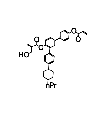 C=CC(=O)Oc1ccc(-c2ccc(OC(=O)C(=C)CO)c(-c3ccc(C4CCC(CCC)CC4)cc3)c2)cc1